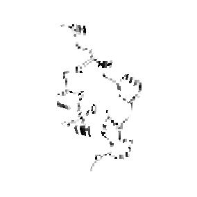 CNCCC(=O)NCc1cccc(Cn2nc(NS(=O)(=O)c3ccc(Cl)s3)c3c(OC)cccc32)c1